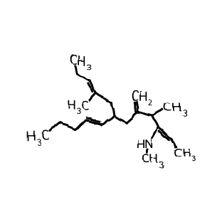 C=C(CC(/C=C/CCC)CC(C)=CCC)C(C)/C(=C/C)NC